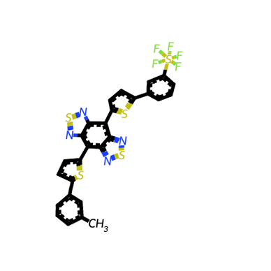 Cc1cccc(-c2ccc(-c3c4c(c(-c5ccc(-c6cccc(S(F)(F)(F)(F)F)c6)s5)c5nsnc35)N=S=N4)s2)c1